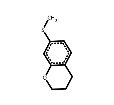 CSc1ccc2c(c1)OCCC2